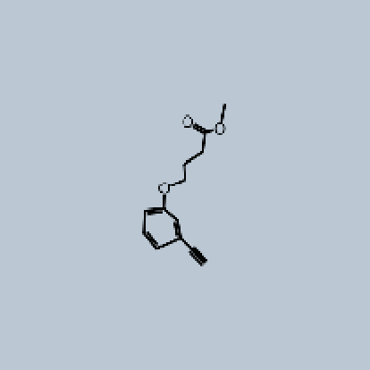 C#Cc1cccc(OCCCC(=O)OC)c1